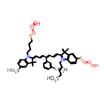 CC1(C)C(/C=C/C=C(/C=C/C=C2/N(CCCCSOOO)c3ccc(S(=O)(=O)O)cc3C2(C)C)c2cccc(C(=O)O)c2)=[N+](CCCCS(=O)(=O)O)c2ccc(SOOO)cc21